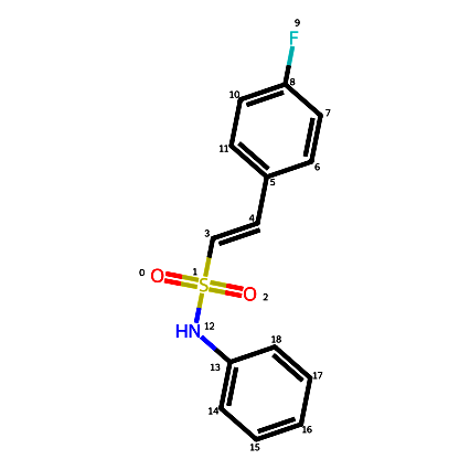 O=S(=O)(C=Cc1ccc(F)cc1)Nc1ccccc1